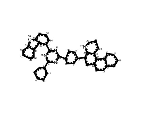 c1ccc(-c2nc(-c3ccc(-c4cc5ccc6ccccc6c5c5cccnc45)cc3)nc(-c3cccc4oc5ccccc5c34)n2)cc1